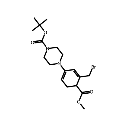 COC(=O)C1CC=C(N2CCN(C(=O)OC(C)(C)C)CC2)C=C1CBr